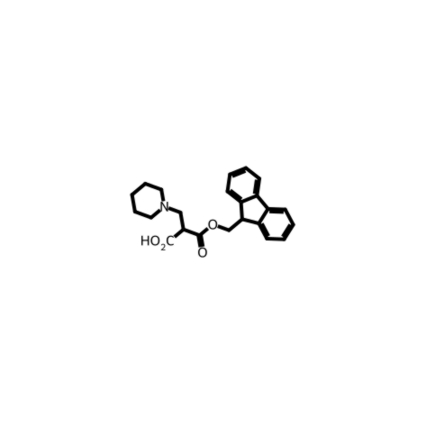 O=C(O)C(CN1CCCCC1)C(=O)OCC1c2ccccc2-c2ccccc21